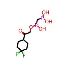 O=C(COP(O)CP(O)O)C1CCC(F)(F)CC1